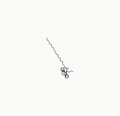 CCCCCCCCCCCCCCCCCC=C(C)C(CCC)N1C(=O)CCC1=O